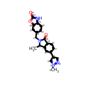 CC1c2cc(-c3cnn(C)c3)ccc2C(=O)N1Cc1ccc2[nH]c(=O)oc2c1